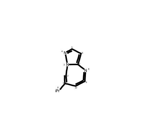 CC(C)C1=Cn2nccc2N=C=C1